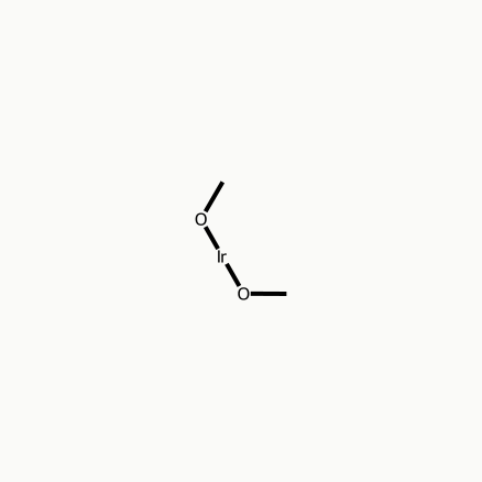 C[O][Ir][O]C